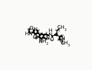 CCC[C@@H]1[C@H](C(=O)Nc2cc3cc(-c4cnc5c(c4C)NCCO5)c(F)c(N)c3cn2)[C@H]1c1cnn(C)c1